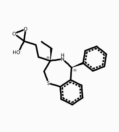 CC[C@]1(CCC2(O)OO2)CSc2ccccc2[C@H](c2ccccc2)N1